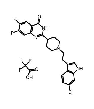 O=C(O)C(F)(F)F.O=c1[nH]c(C2CCN(CCc3c[nH]c4cc(Cl)ccc34)CC2)nc2cc(F)c(F)cc12